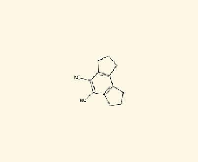 N#Cc1c(C#N)c2c(c3c1CCC3)CCC2